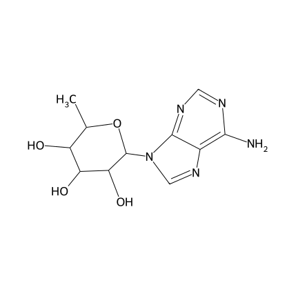 CC1OC(n2cnc3c(N)ncnc32)C(O)C(O)C1O